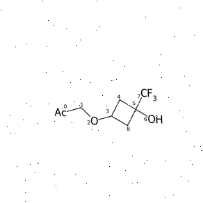 CC(=O)COC1CC(O)(C(F)(F)F)C1